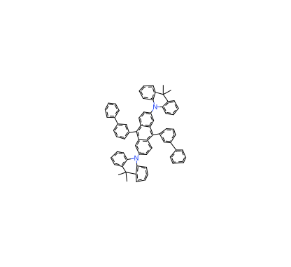 CC1(C)c2ccccc2N(c2ccc3c(-c4cccc(-c5ccccc5)c4)c4cc(N5c6ccccc6C(C)(C)c6ccccc65)ccc4c(-c4cccc(-c5ccccc5)c4)c3c2)c2ccccc21